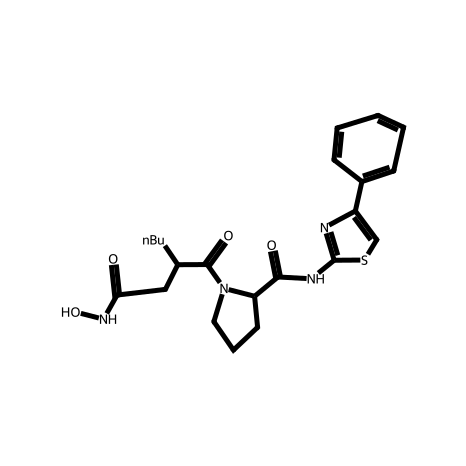 CCCCC(CC(=O)NO)C(=O)N1CCCC1C(=O)Nc1nc(-c2ccccc2)cs1